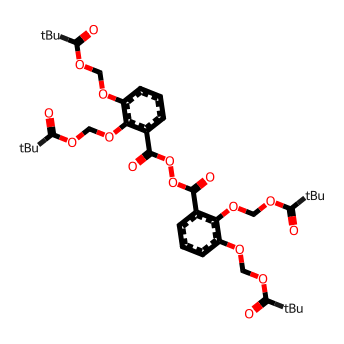 CC(C)(C)C(=O)OCOc1cccc(C(=O)OOC(=O)c2cccc(OCOC(=O)C(C)(C)C)c2OCOC(=O)C(C)(C)C)c1OCOC(=O)C(C)(C)C